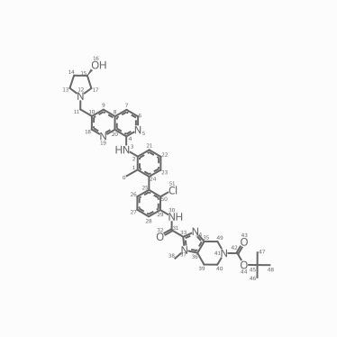 Cc1c(Nc2nccc3cc(CN4CC[C@@H](O)C4)cnc23)cccc1-c1cccc(NC(=O)c2nc3c(n2C)CCN(C(=O)OC(C)(C)C)C3)c1Cl